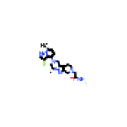 C[C@@H]1CN(c2ccc(C#N)n3ncc(F)c23)Cc2c3c(nn21)CN(CC(N)=O)CC3